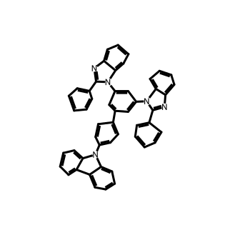 c1ccc(-c2nc3ccccc3n2-c2cc(-c3ccc(-n4c5ccccc5c5ccccc54)cc3)cc(-n3c(-c4ccccc4)nc4ccccc43)c2)cc1